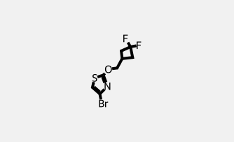 FC1(F)CC(COc2nc(Br)cs2)C1